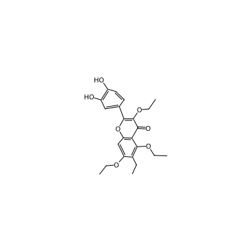 CCOc1cc2oc(-c3ccc(O)c(O)c3)c(OCC)c(=O)c2c(OCC)c1CC